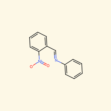 O=[N+]([O-])c1ccccc1/C=N/c1ccccc1